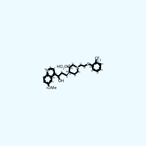 COc1ccc2nccc(C(O)CC[C@@H]3CCN(CCSc4ccccc4C(F)(F)F)C[C@@H]3C(=O)O)c2c1